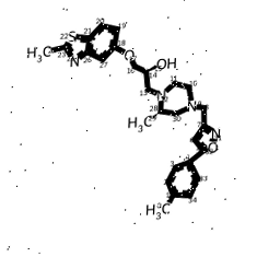 Cc1ccc(-c2cc(CN3CCN(C[C@H](O)COc4ccc5sc(C)nc5c4)[C@@H](C)C3)no2)cc1